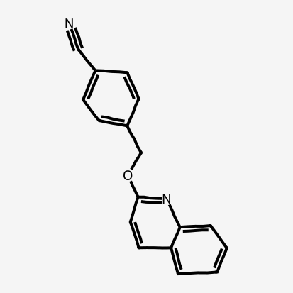 N#Cc1ccc(COc2ccc3ccccc3n2)cc1